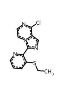 CCSc1cccnc1-c1ncc2c(Cl)nccn12